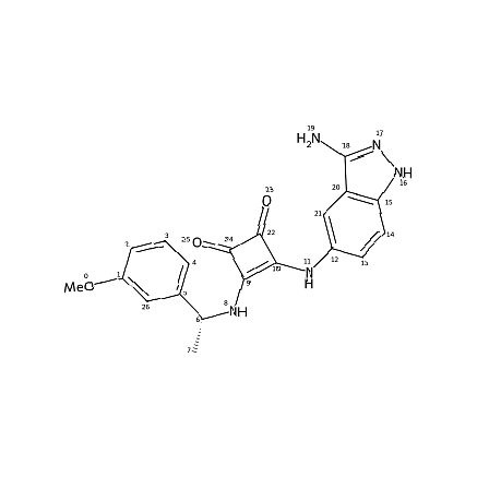 COc1cccc([C@@H](C)Nc2c(Nc3ccc4[nH]nc(N)c4c3)c(=O)c2=O)c1